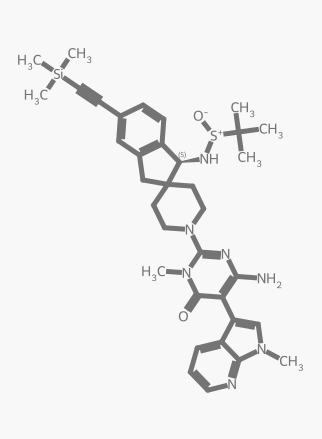 Cn1c(N2CCC3(CC2)Cc2cc(C#C[Si](C)(C)C)ccc2[C@H]3N[S+]([O-])C(C)(C)C)nc(N)c(-c2cn(C)c3ncccc23)c1=O